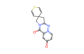 O=c1ccn2nc3n(c(=O)c2c1)CC1(C=CSC=C1)C3